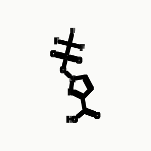 O=C(O)c1ccn(OS(=O)(=O)C(F)(F)F)n1